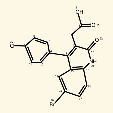 O=C(O)Cc1c(-c2ccc(Cl)cc2)c2cc(Br)ccc2[nH]c1=O